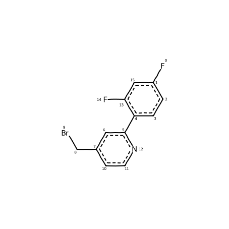 Fc1ccc(-c2cc(CBr)ccn2)c(F)c1